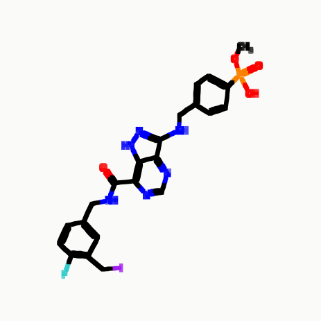 COP(=O)(O)c1ccc(CNc2n[nH]c3c(C(=O)NCc4ccc(F)c(CI)c4)ncnc23)cc1